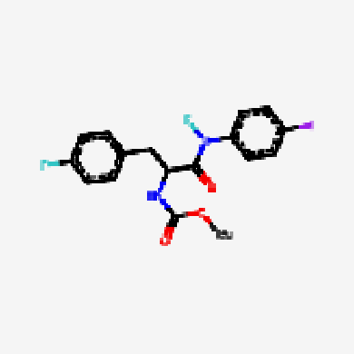 CC(C)(C)OC(=O)NC(Cc1ccc(F)cc1)C(=O)N(F)c1ccc(I)cc1